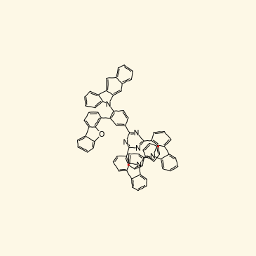 c1ccc(-n2c3ccccc3c3cccc(-c4nc(-c5ccc(-n6c7ccccc7c7cc8ccccc8cc76)c(-c6cccc7c6oc6ccccc67)c5)nc(-c5cccc6c7ccccc7n(-c7ccccc7)c56)n4)c32)cc1